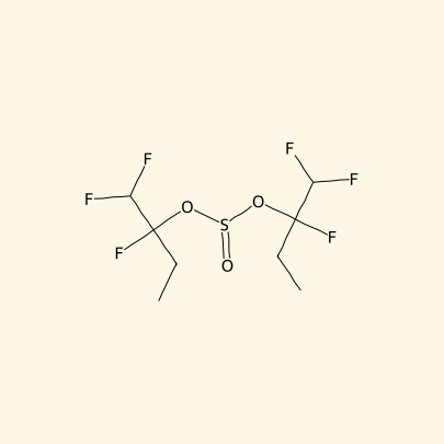 CCC(F)(OS(=O)OC(F)(CC)C(F)F)C(F)F